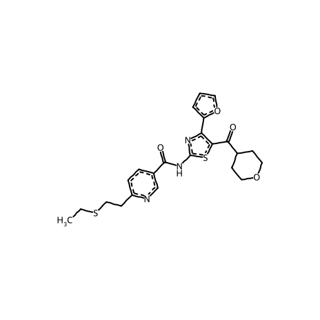 CCSCCc1ccc(C(=O)Nc2nc(-c3ccco3)c(C(=O)C3CCOCC3)s2)cn1